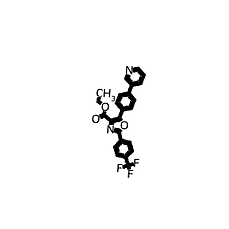 CCOC(=O)c1nc(-c2ccc(C(F)(F)F)cc2)oc1-c1ccc(-c2cccnc2)cc1